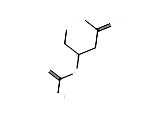 CC(=O)OC(CBr)CC(=O)Cl